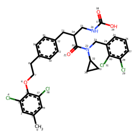 Cc1cc(Cl)c(OCCc2ccc(CC(CNC(=O)O)C(=O)N(Cc3cccc(Cl)c3Cl)C3CC3)cc2)c(Cl)c1